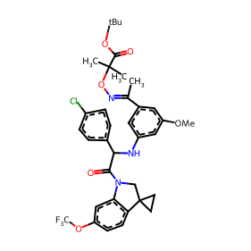 COc1cc(NC(C(=O)N2CC3(CC3)c3ccc(OC(F)(F)F)cc32)c2ccc(Cl)cc2)cc(C(C)=NOC(C)(C)C(=O)OC(C)(C)C)c1